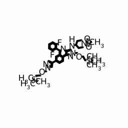 C[Si](C)(C)CCOCn1cc(-c2ccc3c(c2)c(-c2c(F)cccc2F)nc2c(NC4CCN(S(C)(=O)=O)CC4)n(COCC[Si](C)(C)C)nc23)cn1